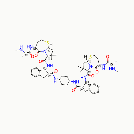 CN[C@@H](C)C(=O)N[C@H]1CCS[C@H]2CC(C)(C)[C@@H](C(=O)N[C@H]3c4ccccc4C[C@H]3C(=O)N[C@H]3CC[C@H](NC(=O)[C@@H]4Cc5ccccc5[C@@H]4NC(=O)[C@H]4N5C(=O)[C@@H](NC(=O)[C@H](C)NC)CCS[C@H]5CC4(C)C)CC3)N2C1=O